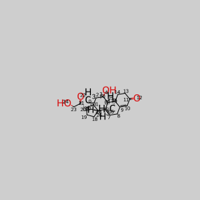 C[C@]12C[C@@H](O)[C@H]3[C@@H](CCC4=CC(=O)CC[C@@]43C)[C@@H]1CC[C@@H]2C(=O)CO